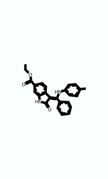 CCOC(=O)c1ccc2c(c1)NC(=O)C2=C(Nc1ccc(C)cc1)c1ccccc1